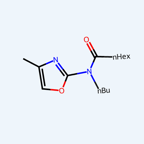 CCCCCCC(=O)N(CCCC)c1nc(C)co1